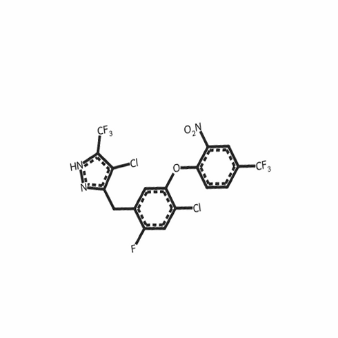 O=[N+]([O-])c1cc(C(F)(F)F)ccc1Oc1cc(Cc2n[nH]c(C(F)(F)F)c2Cl)c(F)cc1Cl